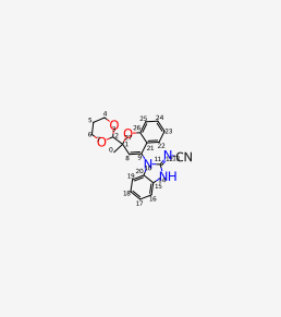 CC1(C2OCCCO2)C=C(n2c(=NC#N)[nH]c3ccccc32)c2ccccc2O1